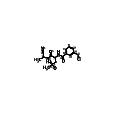 CC(C#N)NC(=O)C(CS(C)(=O)=O)NC(=O)c1cccc(CCl)c1